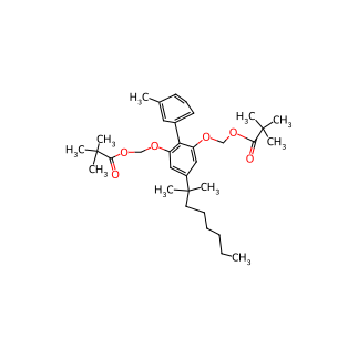 CCCCCCC(C)(C)c1cc(OCOC(=O)C(C)(C)C)c(-c2cccc(C)c2)c(OCOC(=O)C(C)(C)C)c1